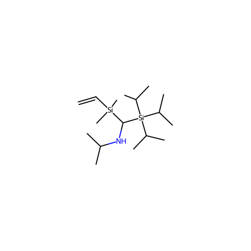 C=C[Si](C)(C)C(NC(C)C)[Si](C(C)C)(C(C)C)C(C)C